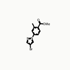 COC(=O)c1ccc(-n2cc(Br)cn2)cc1C